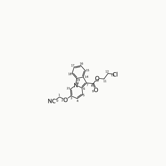 N#CCOc1ccc2c(C(=O)OCCCl)c3ccccc3n2c1